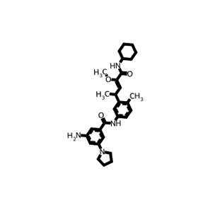 CO/C(=C\C(C)c1cc(NC(=O)c2cc(N)cc(N3CCCC3)c2)ccc1C)C(=O)NC1CCCCC1